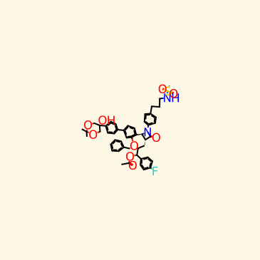 CC(=O)OC(CC[C@H]1C(=O)N(c2ccc(CCCNS(C)(=O)=O)cc2)[C@@H]1c1ccc(-c2ccc(C3(O)COC(C)(C)OC3)cc2)cc1OCc1ccccc1)c1ccc(F)cc1